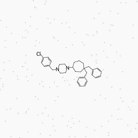 Clc1ccc(CN2CCN(C3CCCC(Cc4ccccc4)(Cc4ccccc4)CC3)CC2)cc1